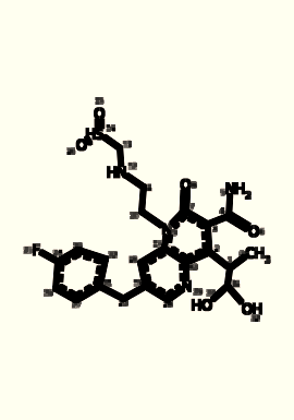 CC(c1c(C(N)=O)c(=O)n(CCNC[SH](=O)=O)c2cc(Cc3ccc(F)cc3)cnc12)C(O)O